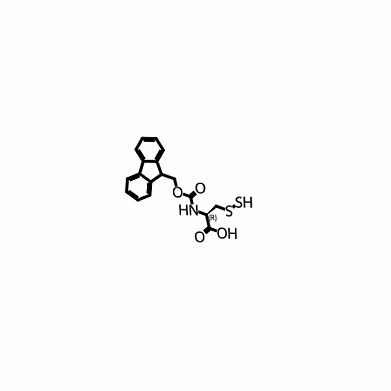 O=C(N[C@@H](CSS)C(=O)O)OCC1c2ccccc2-c2ccccc21